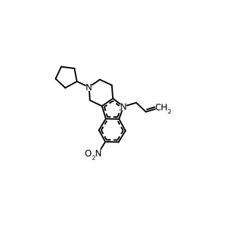 C=CCn1c2c(c3cc([N+](=O)[O-])ccc31)CN(C1CCCC1)CC2